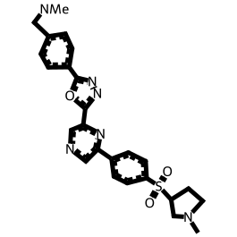 CNCc1ccc(-c2nnc(-c3cncc(-c4ccc(S(=O)(=O)C5CCN(C)C5)cc4)n3)o2)cc1